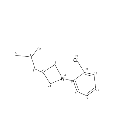 CC(C)CC1CN(c2ccccc2Cl)C1